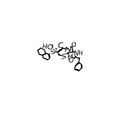 O=C(Cc1ccccc1)N[C@@H]1C(=O)N2C(C(=O)O)=C(Sc3cccc4c3CCCC4)CS[C@H]12